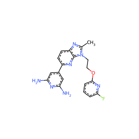 Cc1nc2ccc(-c3cc(N)nc(N)c3)nc2n1CCOc1cccc(F)n1